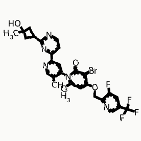 Cc1cnc(-c2ccnc(C3CC(C)(O)C3)n2)cc1-n1c(C)cc(OCc2ncc(C(F)(F)F)cc2F)c(Br)c1=O